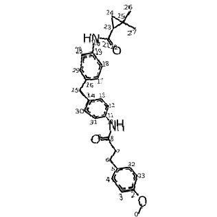 COc1ccc(CCC(=O)Nc2ccc(Cc3ccc(NC(=O)C4CC4(C)C)cc3)cc2)cc1